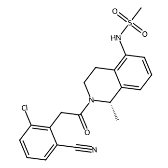 C[C@H]1c2cccc(NS(C)(=O)=O)c2CCN1C(=O)Cc1c(Cl)cccc1C#N